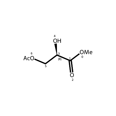 COC(=O)[C@H](O)COC(C)=O